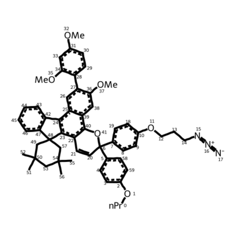 CCCOc1ccc(C2(c3ccc(OCCCN=[N+]=[N-])cc3)C=Cc3c4c(c5cc(-c6ccc(OC)cc6OC)c(OC)cc5c3O2)-c2ccccc2C42CC(C)(C)CC(C)(C)C2)cc1